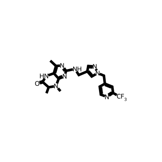 Cc1nc(NCc2cnn(Cc3ccnc(C(F)(F)F)c3)c2)nc2c1NC(=O)C(C)N2C